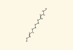 [CH2]CC=CCCCCCCC=CCCC